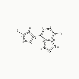 Cc1ccc(-c2ccc(C)c3nsnc23)s1